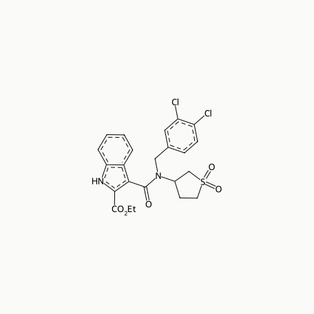 CCOC(=O)c1[nH]c2ccccc2c1C(=O)N(Cc1ccc(Cl)c(Cl)c1)C1CCS(=O)(=O)C1